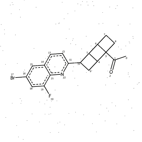 CC(=O)C12C3C4C1C1C2C3C41c1ccc2cc(Br)cc(F)c2n1